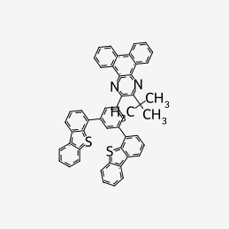 CC(C)(C)c1nc2c3ccccc3c3ccccc3c2nc1-c1cc(-c2cccc3c2sc2ccccc23)cc(-c2cccc3c2sc2ccccc23)c1